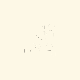 Cc1nc(C(=O)N2CCCC2c2nc3c(F)cccc3[nH]2)c(-c2cccc(Cl)c2)s1